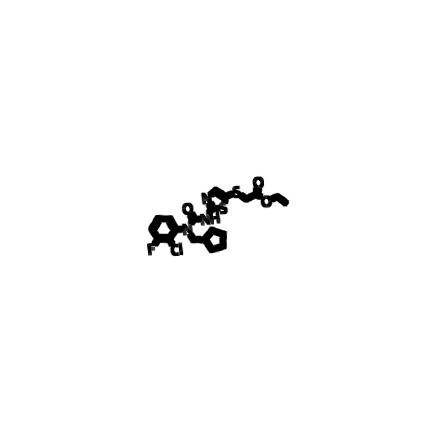 CCOC(=O)CSc1cnc(NC(=O)N(CC2CCCC2)c2cccc(F)c2Cl)s1